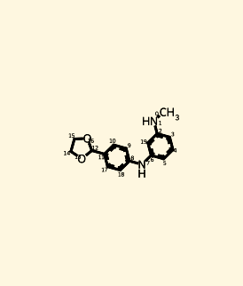 CNc1cccc(Nc2ccc(C3OCCO3)cc2)c1